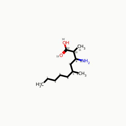 CCCCCC(C)CC(N)C(C)C(=O)O